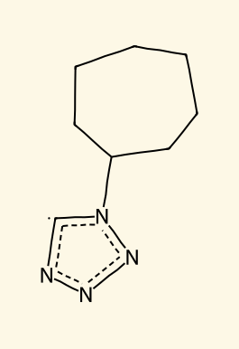 [c]1nnnn1C1CCCCCC1